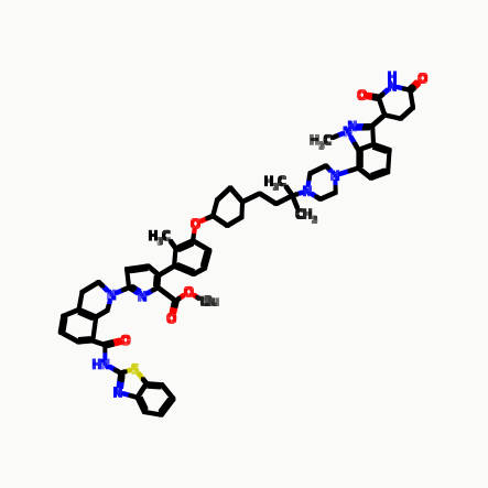 Cc1c(OC2CCC(CCC(C)(C)N3CCN(c4cccc5c(C6CCC(=O)NC6=O)nn(C)c45)CC3)CC2)cccc1-c1ccc(N2CCc3cccc(C(=O)Nc4nc5ccccc5s4)c3C2)nc1C(=O)OC(C)(C)C